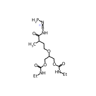 CCNC(=O)OCC(COC(=O)NCC)OCCC(C)C(=O)N/B=N/P